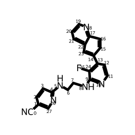 N#Cc1ccc(NCCNc2nccc(-c3ccc4ncccc4c3)c2F)nc1